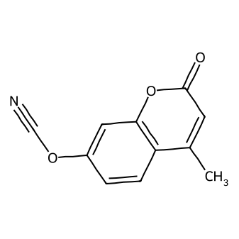 Cc1cc(=O)oc2cc(OC#N)ccc12